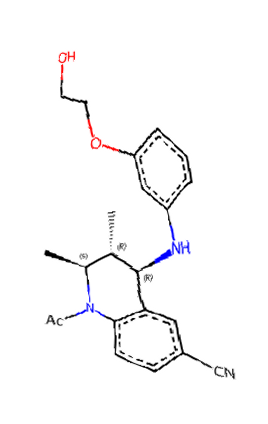 CC(=O)N1c2ccc(C#N)cc2[C@H](Nc2cccc(OCCO)c2)[C@@H](C)[C@@H]1C